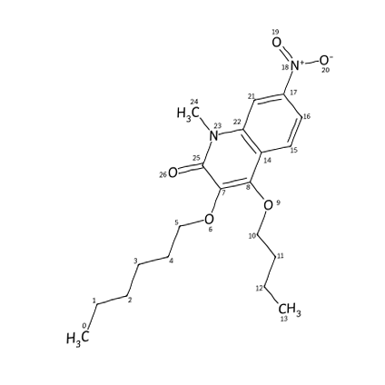 CCCCCCOc1c(OCCCC)c2ccc([N+](=O)[O-])cc2n(C)c1=O